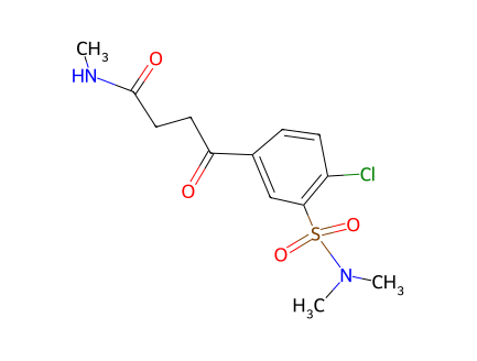 CNC(=O)CCC(=O)c1ccc(Cl)c(S(=O)(=O)N(C)C)c1